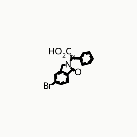 O=C(O)[C@@H](c1ccccc1)N1Cc2cc(Br)ccc2C1=O